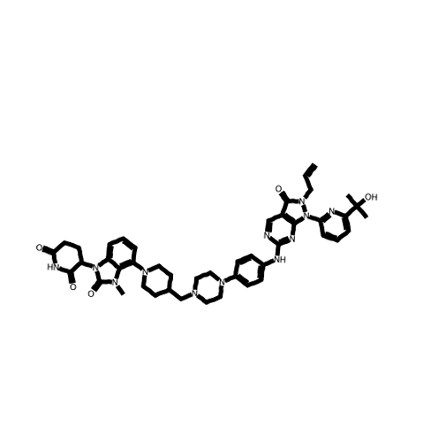 C=CCn1c(=O)c2cnc(Nc3ccc(N4CCN(CC5CCN(c6cccc7c6n(C)c(=O)n7C6CCC(=O)NC6=O)CC5)CC4)cc3)nc2n1-c1cccc(C(C)(C)O)n1